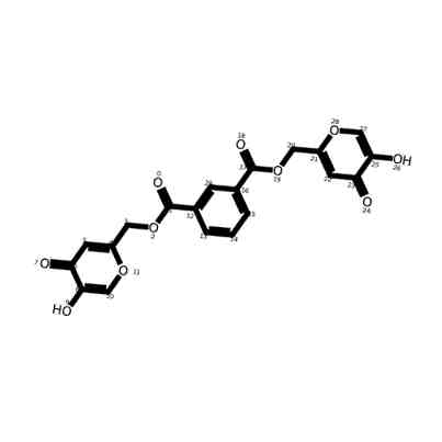 O=C(OCc1cc(=O)c(O)co1)c1cccc(C(=O)OCc2cc(=O)c(O)co2)c1